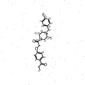 CCC(=O)c1ccc(OCC(=O)N2C[C@H](C)N(Cc3ccc(F)cc3)C[C@H]2C)cc1